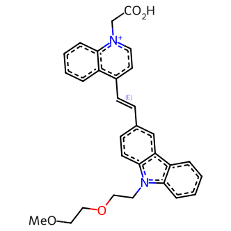 COCCOCCn1c2ccccc2c2cc(/C=C/c3cc[n+](CC(=O)O)c4ccccc34)ccc21